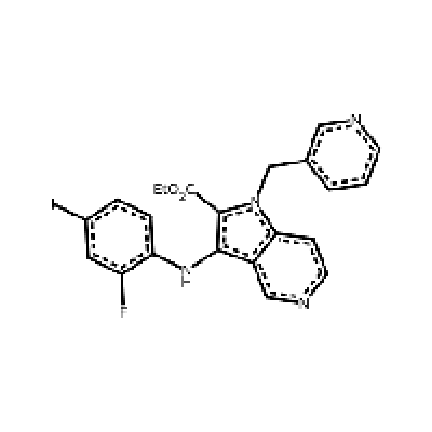 CCOC(=O)c1c(Nc2ccc(I)cc2F)c2cnccc2n1Cc1cccnc1